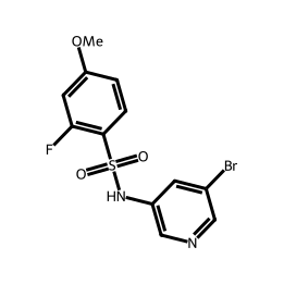 COc1ccc(S(=O)(=O)Nc2cncc(Br)c2)c(F)c1